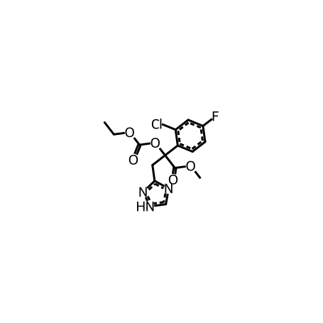 CCOC(=O)OC(Cc1nc[nH]n1)(C(=O)OC)c1ccc(F)cc1Cl